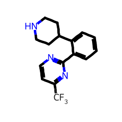 FC(F)(F)c1ccnc(-c2ccccc2C2CCNCC2)n1